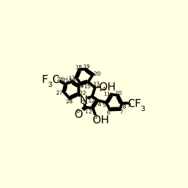 O=C1C(O)=C(c2ccc(C(F)(F)F)cc2)C([C@H](O)c2ccccc2)N1c1ccc(C(F)(F)F)cc1